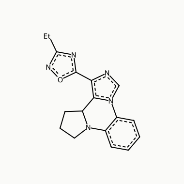 CCc1noc(-c2ncn3c2C2CCCN2c2ccccc2-3)n1